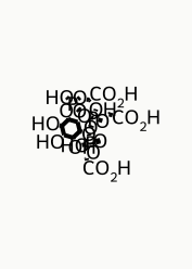 O=C(O)COP(=O)(O)OC1C(O)C(O)C(O)C(OP(=O)(O)OCC(=O)O)C1OP(=O)(O)OCC(=O)O